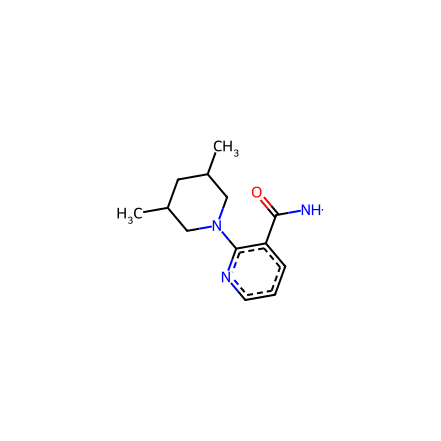 CC1CC(C)CN(c2ncccc2C([NH])=O)C1